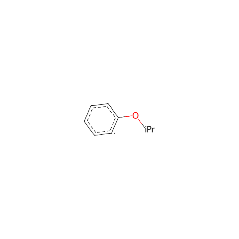 CC(C)Oc1[c]cccc1